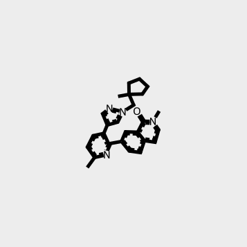 Cc1ccc(-c2cnn(CC3(C)CCCC3)c2)c(-c2ccc3ccn(C)c(=O)c3c2)n1